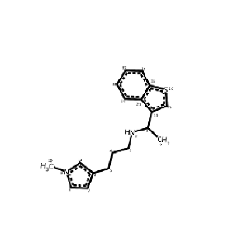 CC(NCCCc1ccn(C)c1)c1csc2ccccc12